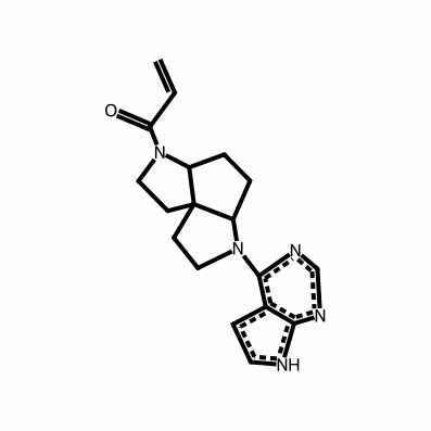 C=CC(=O)N1CCC23CCN(c4ncnc5[nH]ccc45)C2CCC13